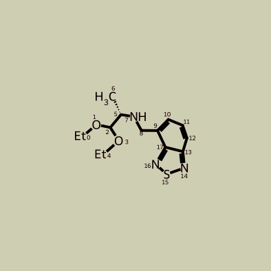 CCOC(OCC)[C@H](C)NCc1cccc2nsnc12